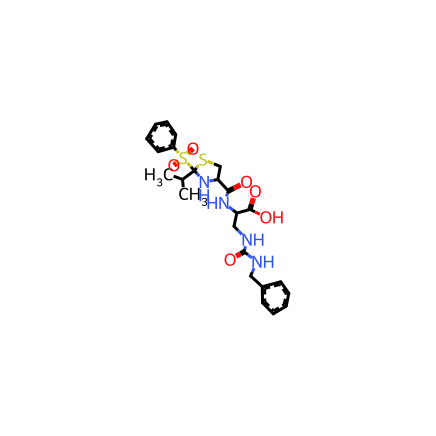 CC(C)C1(S(=O)(=O)c2ccccc2)NC(C(=O)NC(CNC(=O)NCc2ccccc2)C(=O)O)CS1